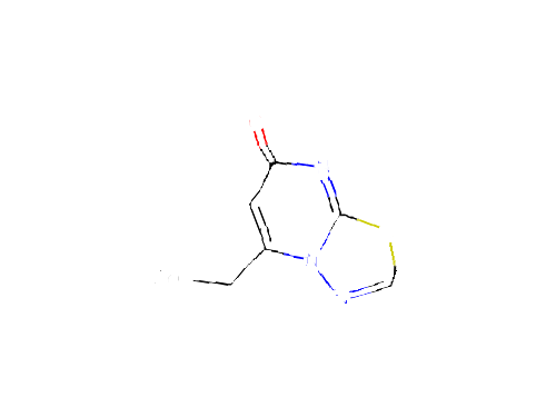 CC(=O)OCc1cc(=O)nc2scnn12